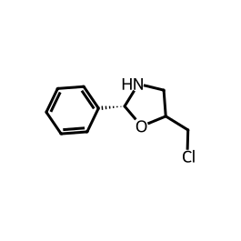 ClCC1CN[C@@H](c2ccccc2)O1